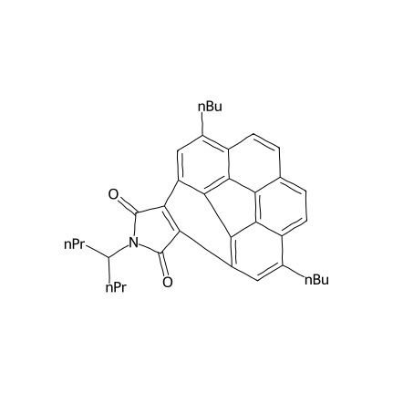 CCCCc1cc2c3c(=O)n(C(CCC)CCC)c(=O)c3c3cc(CCCC)c4ccc5ccc1c1c5c4c3c21